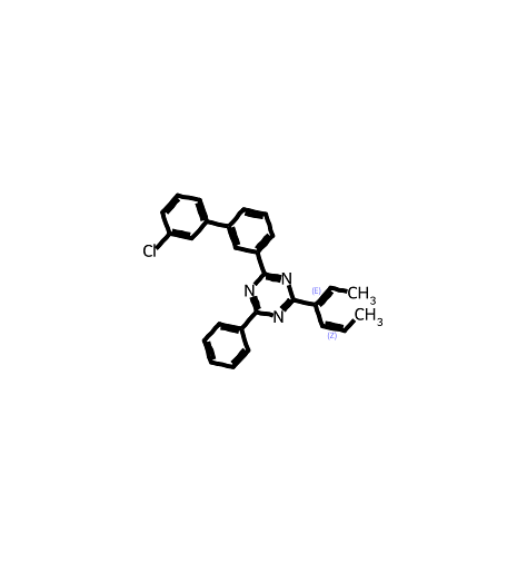 C/C=C\C(=C/C)c1nc(-c2ccccc2)nc(-c2cccc(-c3cccc(Cl)c3)c2)n1